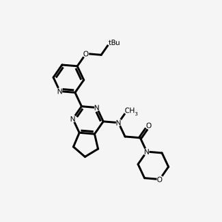 CN(CC(=O)N1CCOCC1)c1nc(-c2cc(OCC(C)(C)C)ccn2)nc2c1CCC2